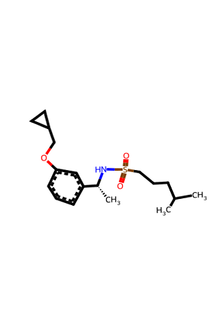 CC(C)CCCS(=O)(=O)N[C@H](C)c1cccc(OCC2CC2)c1